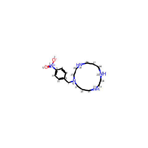 O=[N+]([O-])c1ccc(CN2CCCNCCNCCCNCC2)cc1